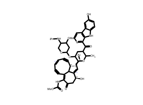 COC(=O)NC1=C2C#C/C=C\C#C[C@H](OC3OC(C)C(C(=O)c4nccc5c4[nH]c4ccc(O)cc45)CC3OC3CC(OC)C(NC(C)C)CO3)C2/C(=C\CSC(C)=O)[C@@H](O)CC1=O